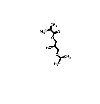 C=C(C)C(=O)OCC(O)COC(C)C